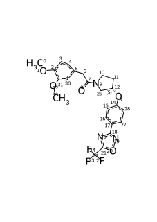 COc1ccc(CC(=O)N2CC[C@H](Oc3ccc(-c4noc(C(F)(F)F)n4)cc3)C2)cc1OC